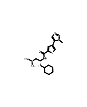 Cn1nncc1-c1csc(C(=O)N[C@H](CC2CCCCC2)CN(C(=O)O)C(C)(C)C)c1